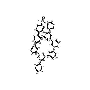 CP(C)(=O)c1ccc(-c2ccc(-c3cccc(-c4nc(-c5ccccc5)nc(-c5ccccc5)n4)c3)cc2-c2nc(-c3ccccc3)nc(-c3ccccc3)n2)cc1